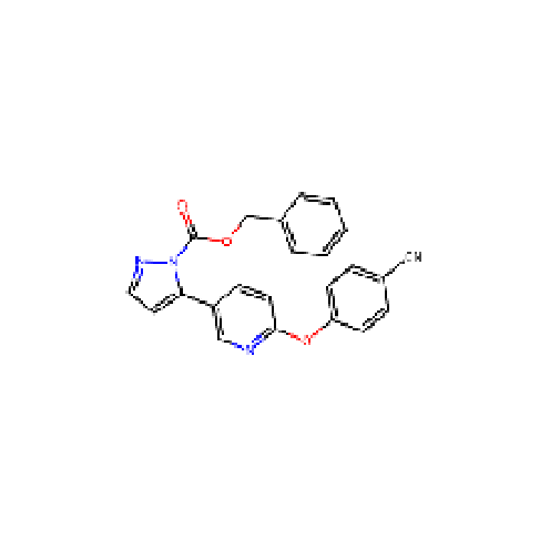 N#Cc1ccc(Oc2ccc(-c3ccnn3C(=O)OCc3ccccc3)cn2)cc1